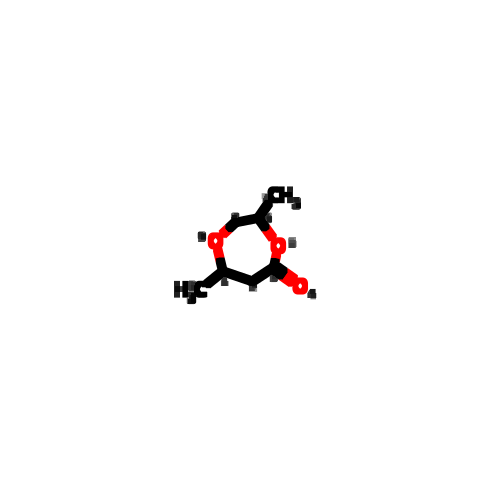 CC1CC(=O)OC(C)CO1